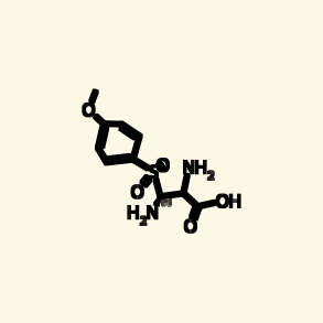 COc1ccc(S(=O)(=O)[C@H](N)C(N)C(=O)O)cc1